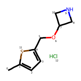 Cc1ccc(COC2CNC2)s1.Cl